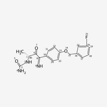 C[C@@H](NC(N)=O)C(=O)C(=N)c1ccc(OCc2cccc(F)c2)cc1